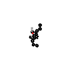 CC1c2cc3c4c(n(-c5ccc[nH]5)c3c3c2-c2c(cc5c6cc(-c7cccc(-c8ccccc8)c7)ccc6n(C6=CNCC=C6)c5c2C(C)C3C)C1C)CCC(C1=CC=CC(C2C=CC=CC2)C1)=C4